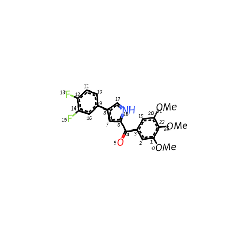 COc1cc(C(=O)c2cc(-c3ccc(F)c(F)c3)c[nH]2)cc(OC)c1OC